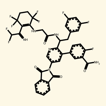 N=C(C1=C(NCC(=O)NC(Cc2cc(F)cc(F)c2)c2ncc(N3C(=O)c4ccccc4C3=O)cc2-c2ccc(F)c(C(N)=O)c2)C(F)(F)CCC1(F)F)C(F)F